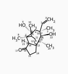 C=C[C@]1(C)C[C@@H](O)[C@@]2(C)C(C)CCC3(CCC(=O)[C@H]32)[C@@H](C)[C@@H]1O